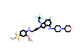 COc1cc(S(C)(=O)=O)ccc1NCC#Cc1cc2c(NC3CCN(C4CCOCC4)CC3)cc(F)cc2n1CC(F)(F)F